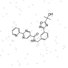 C[C@H](NC(=O)c1cnc(-c2ccccn2)nc1)c1cccc(-c2noc(C(C)(C)O)n2)c1